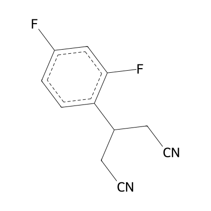 N#CCC(CC#N)c1ccc(F)cc1F